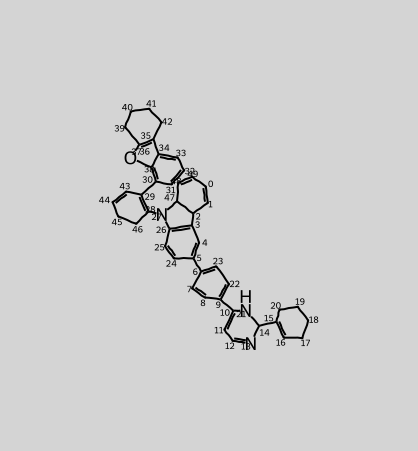 C1=CC2c3cc(-c4ccc(C5=CC=NC(C6=CCCCC6)N5)cc4)ccc3N(C3=C(c4cccc5c6c(oc45)CCCC6)C=CCC3)C2C=C1